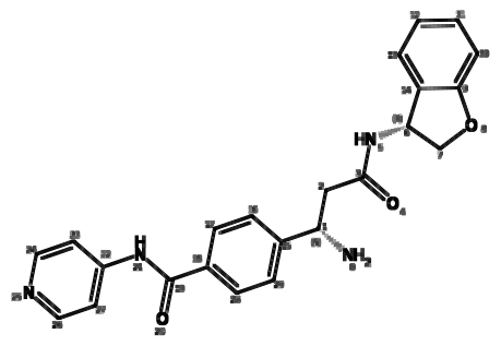 N[C@@H](CC(=O)N[C@H]1COc2ccccc21)c1ccc(C(=O)Nc2ccncc2)cc1